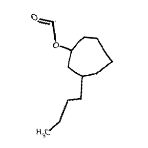 CCCCC1CCCCC(O[C]=O)C1